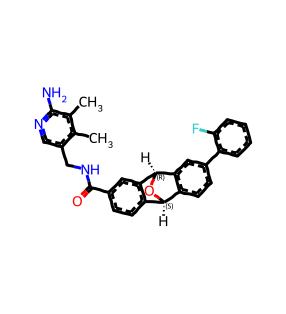 Cc1c(CNC(=O)c2ccc3c(c2)[C@@H]2O[C@H]3c3ccc(-c4ccccc4F)cc32)cnc(N)c1C